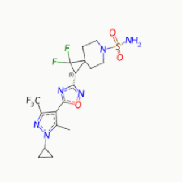 Cc1c(-c2nc([C@@H]3C(F)(F)C34CCN(S(N)(=O)=O)CC4)no2)c(C(F)(F)F)nn1C1CC1